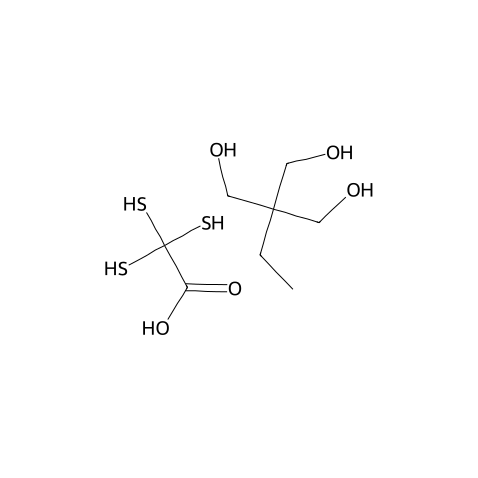 CCC(CO)(CO)CO.O=C(O)C(S)(S)S